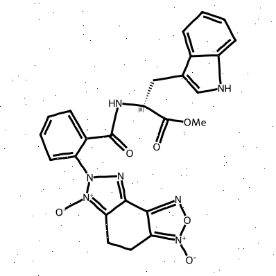 COC(=O)[C@@H](Cc1c[nH]c2ccccc12)NC(=O)c1ccccc1-n1nc2c([n+]1[O-])CCc1c-2no[n+]1[O-]